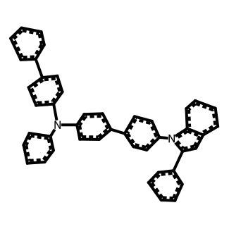 c1ccc(-c2ccc(N(c3ccccc3)c3ccc(-c4ccc(-n5c(-c6ccccc6)cc6ccccc65)cc4)cc3)cc2)cc1